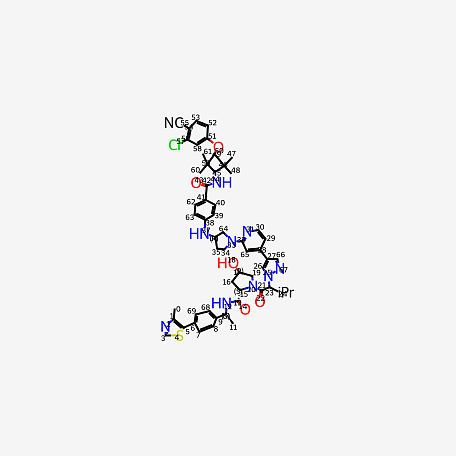 Cc1ncsc1-c1ccc([C@H](C)NC(=O)[C@@H]2C[C@@H](O)CN2C(=O)C(C(C)C)n2cc(-c3ccnc(N4CC[C@@H](Nc5ccc(C(=O)N[C@H]6C(C)(C)[C@H](Oc7ccc(C#N)c(Cl)c7)C6(C)C)cc5)C4)c3)cn2)cc1